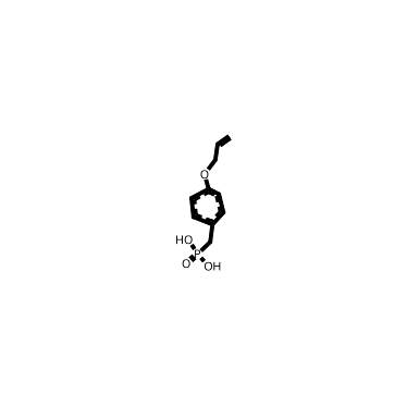 C=CCOc1ccc(CP(=O)(O)O)cc1